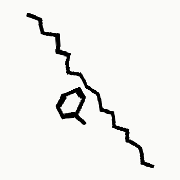 CCCCCCCCCCCCCCCCCC.Cc1ccccc1